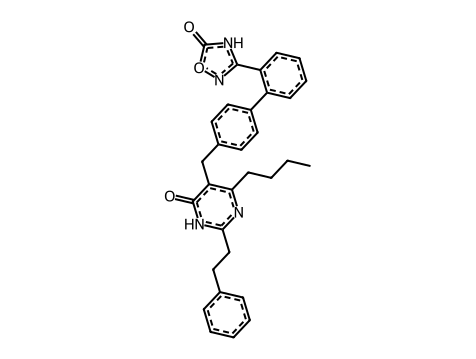 CCCCc1nc(CCc2ccccc2)[nH]c(=O)c1Cc1ccc(-c2ccccc2-c2noc(=O)[nH]2)cc1